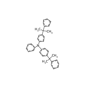 CC(C)(c1ccccc1)c1ccc(N(c2ccccc2)c2ccc(C(C)(C)c3ccccc3)cc2)cc1